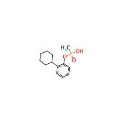 CP(=O)(O)Oc1ccccc1C1CCCCC1